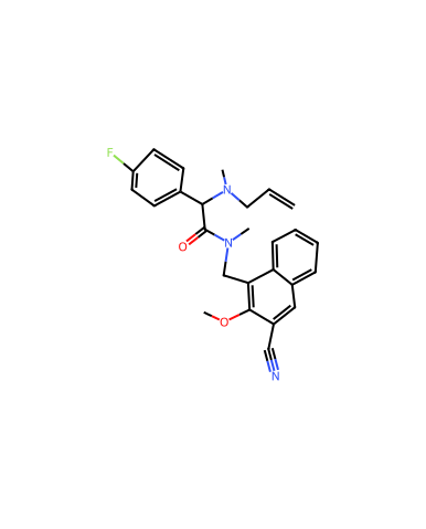 C=CCN(C)C(C(=O)N(C)Cc1c(OC)c(C#N)cc2ccccc12)c1ccc(F)cc1